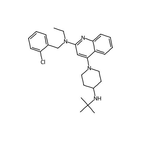 CCN(Cc1ccccc1Cl)c1cc(N2CCC(NC(C)(C)C)CC2)c2ccccc2n1